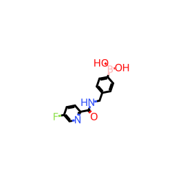 O=C(NCc1ccc(B(O)O)cc1)c1ccc(F)cn1